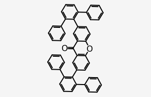 O=c1c2cc(-c3c(-c4ccccc4)cccc3-c3ccccc3)ccc2oc2ccc(-c3c(-c4ccccc4)cccc3-c3ccccc3)cc12